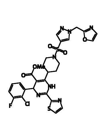 COC(=O)C1=C(C2CCN(S(=O)(=O)c3cnn(Cc4ncco4)c3)CC2)NC(c2nccs2)=NC1c1cccc(F)c1Cl